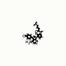 CN(C)C/C=C/C(=O)N(C)c1cccc(-n2nc(-c3ccc(Cl)cc3)c3c(N)ncnc32)c1F